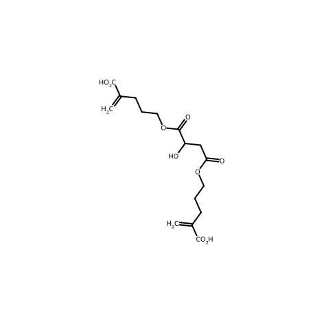 C=C(CCCOC(=O)CC(O)C(=O)OCCCC(=C)C(=O)O)C(=O)O